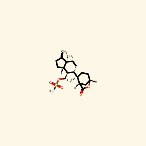 C=C1CC[C@H]2[C@H](COS(C)(=O)=O)[C@@H]([C@@]3(C)CC[C@H]4C[C@@H]3C(=O)O4)CC[C@]12C